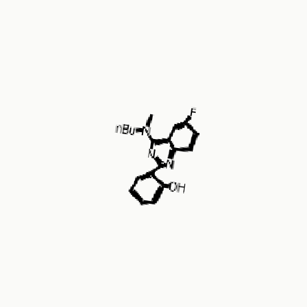 CCCCN(C)c1nc(-c2ccccc2O)nc2ccc(F)cc12